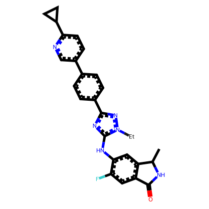 CCn1nc(-c2ccc(-c3ccc(C4CC4)nc3)cc2)nc1Nc1cc2c(cc1F)C(=O)NC2C